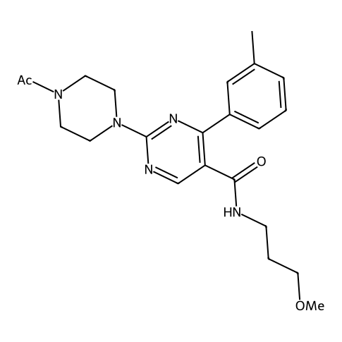 COCCCNC(=O)c1cnc(N2CCN(C(C)=O)CC2)nc1-c1cccc(C)c1